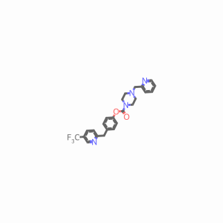 O=C(Oc1ccc(Cc2ccc(C(F)(F)F)cn2)cc1)N1CCN(Cc2ccccn2)CC1